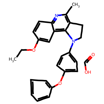 CCOc1ccc2nc(C)c3c(c2c1)N(c1ccc(Oc2ccccc2)cc1)CC3.O=CO